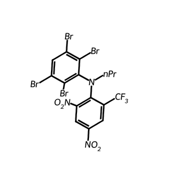 CCCN(c1c([N+](=O)[O-])cc([N+](=O)[O-])cc1C(F)(F)F)c1c(Br)c(Br)cc(Br)c1Br